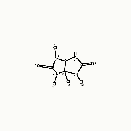 O=C1NC2N(Cl)C(=O)N(Cl)C2(Cl)N1Cl